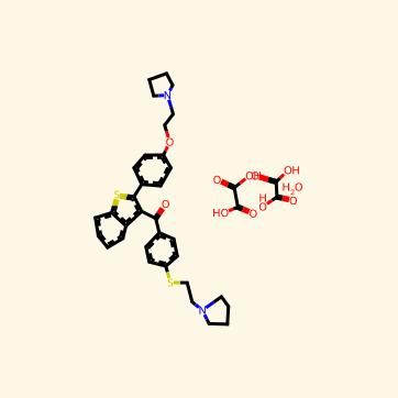 O.O=C(O)C(=O)O.O=C(O)C(=O)O.O=C(c1ccc(SCCN2CCCC2)cc1)c1c(-c2ccc(OCCN3CCCC3)cc2)sc2ccccc12